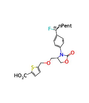 CCCCC[C@H](F)c1ccc(N2C(=O)OCC2COCc2ccc(C(=O)O)s2)cc1